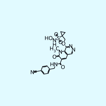 Cn1c(=O)c(C(=O)NCc2ccc(C#N)cc2)cc2cnnc(OCC3(S(=O)(=O)NO)CC3)c21